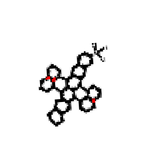 Cl[Si](Cl)(Cl)c1ccc2cc3c(-c4ccccc4)c4c(-c5ccccc5)c5cc6ccccc6cc5c(-c5ccccc5)c4c(-c4ccccc4)c3cc2c1